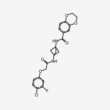 O=C(COc1ccc(Cl)c(F)c1)NC12CC(NC(=O)c3ccc4c(c3)OCCO4)(C1)C2